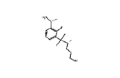 C[C@H](CCCO)C(F)(F)c1cccc([C@@H](C)N)c1F